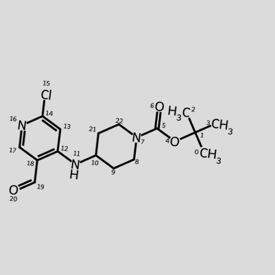 CC(C)(C)OC(=O)N1CCC(Nc2cc(Cl)ncc2C=O)CC1